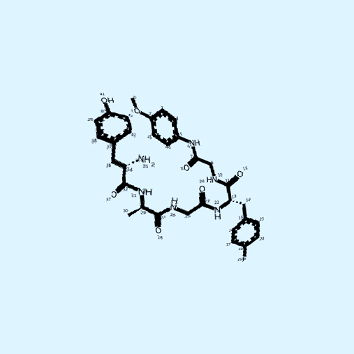 COc1ccc(NC(=O)CNC(=O)[C@H](Cc2ccc(F)cc2)NC(=O)CNC(=O)[C@@H](C)NC(=O)[C@@H](N)Cc2ccc(O)cc2)cc1